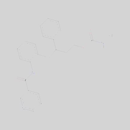 CNC(=O)OCCC(Oc1ccccc1NC(=O)c1cnccc1Cl)c1ccccc1